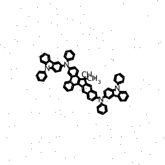 CC1(C)c2cc3cc(N(c4ccccc4)c4ccc5c(c4)c4ccccc4n5-c4ccccc4)ccc3cc2-c2c1c1ccc(N(c3ccccc3)c3ccc4c(c3)c3ccccc3n4-c3ccccc3)cc1c1ccccc21